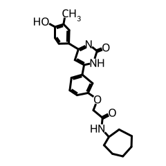 Cc1cc(-c2cc(-c3cccc(OCC(=O)NC4CCCCCC4)c3)[nH]c(=O)n2)ccc1O